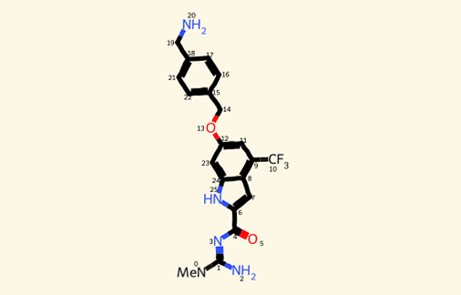 CNC(N)=NC(=O)c1cc2c(C(F)(F)F)cc(OCc3ccc(CN)cc3)cc2[nH]1